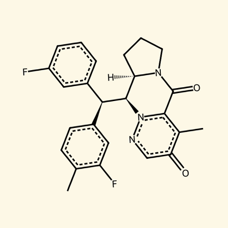 Cc1ccc([C@@H](c2cccc(F)c2)[C@H]2[C@H]3CCCN3C(=O)c3c(C)c(=O)cnn32)cc1F